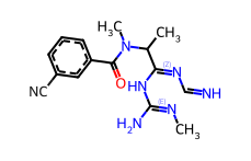 C/N=C(\N)N/C(=N\C=N)C(C)N(C)C(=O)c1cccc(C#N)c1